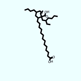 CCCCC(CC)CC(CCCCCCCCCCCCCC(=O)O)C(CC)(CC(CC)CCCC)C(=O)O